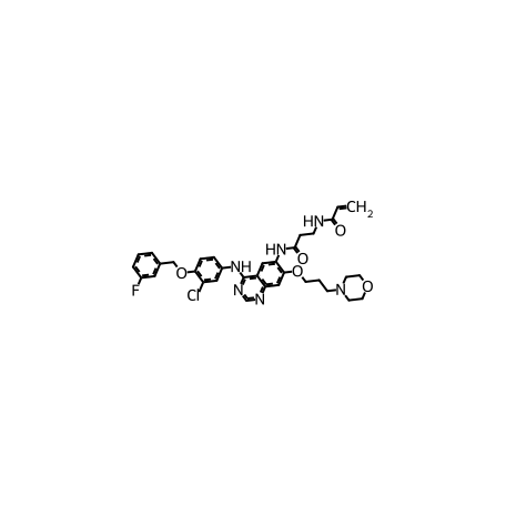 C=CC(=O)NCCC(=O)Nc1cc2c(Nc3ccc(OCc4cccc(F)c4)c(Cl)c3)ncnc2cc1OCCCN1CCOCC1